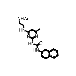 CC(=O)NCCNc1cc(C)nc(NC(=O)Nc2ccc3ccccc3c2)n1